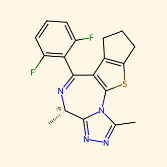 Cc1nnc2n1-c1sc3c(c1C(c1c(F)cccc1F)=N[C@H]2C)CCC3